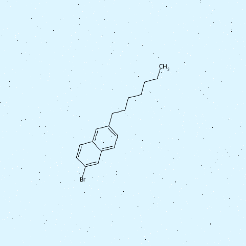 CCCCCCCc1ccc2cc(Br)ccc2c1